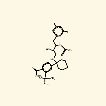 CC(=O)NC(Cc1cc(F)cc(F)c1)C(O)CNC1(c2ccc(C(C)=O)c(C(C)(C)C)c2)CCCCC1